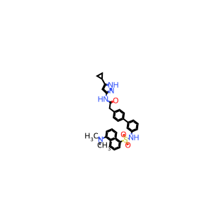 CN(C)c1cccc2c(S(=O)(=O)Nc3cccc(-c4ccc(CC(=O)Nc5cc(C6CC6)[nH]n5)cc4)c3)cccc12